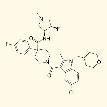 Cc1c(C(=O)N2CCC(C(=O)N[C@H]3CN(C)C[C@H]3F)(c3ccc(F)cc3)CC2)c2cc(Cl)ccc2n1CC1CCOCC1